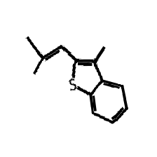 CC(C)=Cc1sc2ccccc2c1C